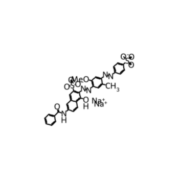 COc1cc(N=Nc2ccc(S(=O)(=O)[O-])cc2)c(C)cc1N=Nc1c(S(=O)(=O)[O-])cc2cc(NC(=O)c3ccccc3)ccc2c1O.[Na+].[Na+]